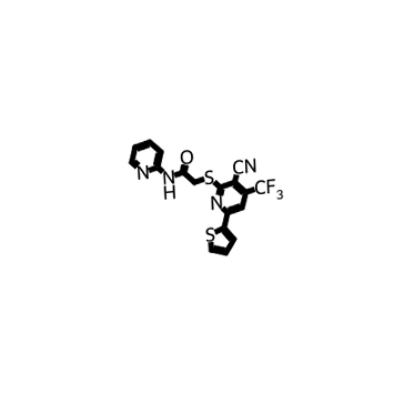 N#Cc1c(C(F)(F)F)cc(-c2cccs2)nc1SCC(=O)Nc1ccccn1